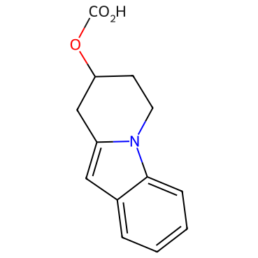 O=C(O)OC1CCn2c(cc3ccccc32)C1